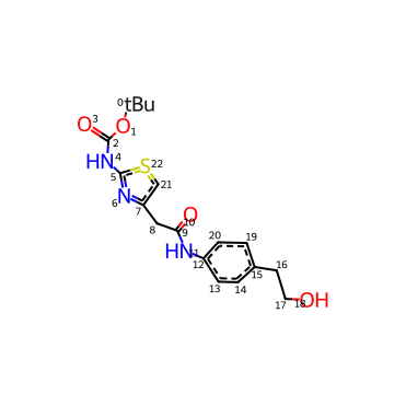 CC(C)(C)OC(=O)Nc1nc(CC(=O)Nc2ccc(CCO)cc2)cs1